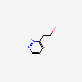 [O]CCc1cccnn1